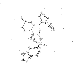 CC1CCN(C(=O)C(CCn2cccc2C#N)NS(=O)(=O)c2ccc3cc[nH]c3c2)CC1